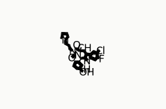 C[C@@]12Cc3c([nH]c4cc(F)c(Cl)cc34)[C@@H](c3cccc(O)c3)N1C(=O)N(CCCN1CC=CC1)C2=O